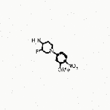 COc1cc(N2CCC(N)C(F)C2)ccc1[N+](=O)[O-]